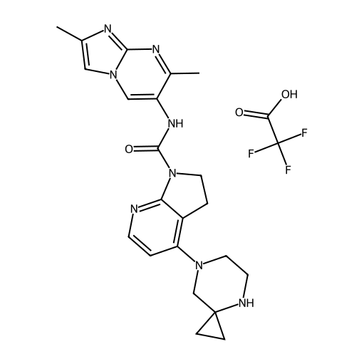 Cc1cn2cc(NC(=O)N3CCc4c(N5CCNC6(CC6)C5)ccnc43)c(C)nc2n1.O=C(O)C(F)(F)F